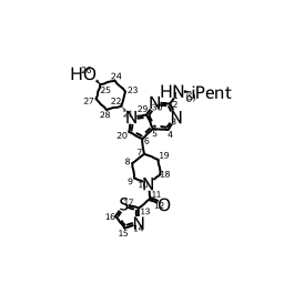 CCC[C@H](C)Nc1ncc2c(C3CCN(C(=O)c4nccs4)CC3)cn([C@H]3CC[C@H](O)CC3)c2n1